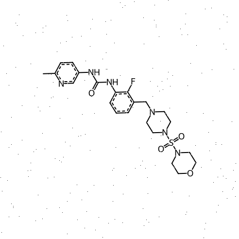 Cc1ccc(NC(=O)Nc2cccc(CN3CCN(S(=O)(=O)N4CCOCC4)CC3)c2F)cn1